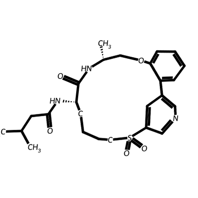 CC(C)CC(=O)N[C@H]1CCCCS(=O)(=O)c2cncc(c2)-c2ccccc2OC[C@@H](C)NC1=O